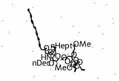 C#CC#CC#CC#CC#CC#CC#CCC(=O)CC(=O)N[C@H]1[C@H](O/C=C\C)O[C@H](CO[C@@H]2O[C@H](COC)[C@@H](OP(=O)(OCC=C)OCC=C)[C@H](OCC[C@@H](CCCCCCC)OC)[C@H]2C)[C@@H](C)[C@@H]1OCCCCCCCCCC